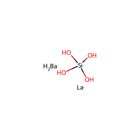 O[Si](O)(O)O.[BaH2].[La]